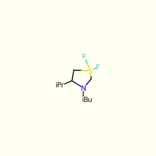 CCC(C)N1CS(F)(F)CC1C(C)C